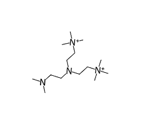 CN(C)CCN(CC[N+](C)(C)C)CC[N+](C)(C)C